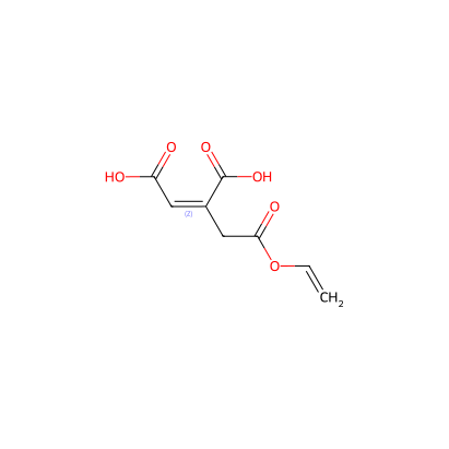 C=COC(=O)C/C(=C/C(=O)O)C(=O)O